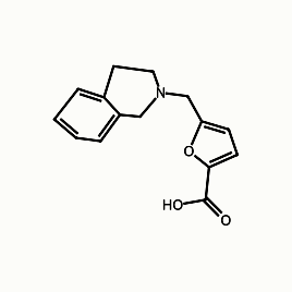 O=C(O)c1ccc(CN2CCc3ccccc3C2)o1